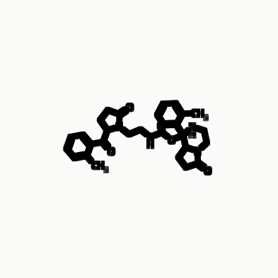 Cc1ccccc1C(=O)C1CCC(=O)N1CCNC(=O)OC1(c2ccccc2C)NCCN2C(=O)CCC21